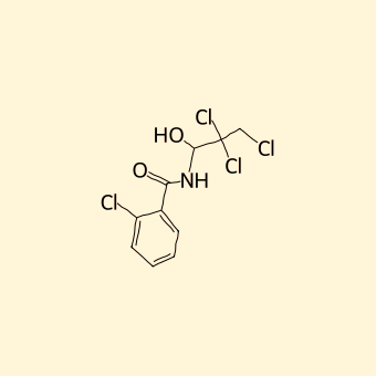 O=C(NC(O)C(Cl)(Cl)CCl)c1ccccc1Cl